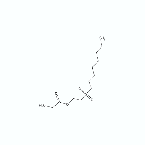 CCCCCCCCS(=O)(=O)CCOC(=O)CC